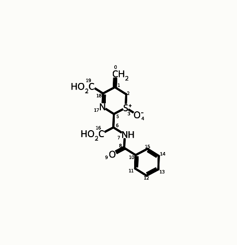 C=C1C[S+]([O-])C(C(NC(=O)c2ccccc2)C(=O)O)N=C1C(=O)O